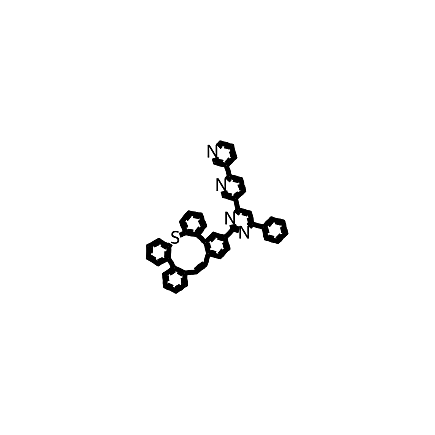 C1=C\c2ccc(-c3nc(-c4ccccc4)cc(-c4ccc(-c5cccnc5)nc4)n3)cc2-c2ccccc2Sc2ccccc2-c2ccccc2/1